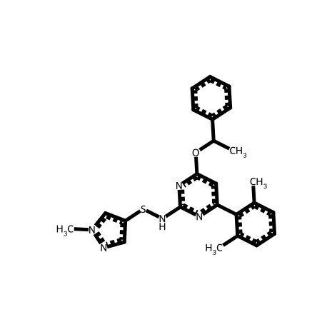 Cc1cccc(C)c1-c1cc(OC(C)c2ccccc2)nc(NSc2cnn(C)c2)n1